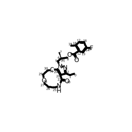 CCc1nn(C[C@@H](C)COC(=O)c2cc(F)ccc2C)c2c1C(=O)NCCCOCCC2